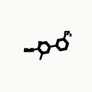 CNc1ncc(-c2cccc(C(F)(F)F)c2)cc1C